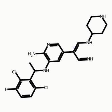 CC(Nc1cc(/C(C=N)=C/NC2CCNCC2)cnc1N)c1c(Cl)ccc(F)c1Cl